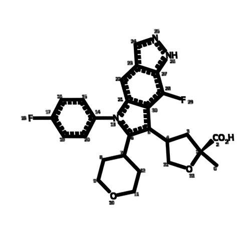 C[C@@]1(C(=O)O)CC(c2c(C3CCOCC3)n(-c3ccc(F)cc3)c3cc4cn[nH]c4c(F)c23)CO1